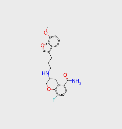 COc1cccc2c(CCCNC3COc4c(F)ccc(C(N)=O)c4C3)coc12